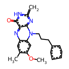 C=c1nc2c(c(=O)[nH]1)=Nc1cc(C)c(OC)cc1N2CCCc1ccccc1